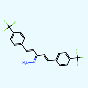 NN=C(C=Cc1ccc(C(F)(F)F)cc1)C=Cc1ccc(C(F)(F)F)cc1